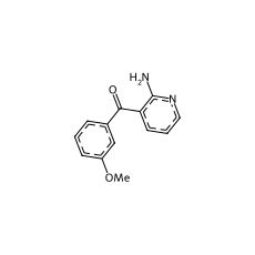 COc1cccc(C(=O)c2cccnc2N)c1